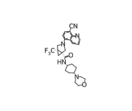 N#Cc1ccc(N2C[C@@]3(C(=O)N[C@H]4CC[C@@H](N5CCOCC5)CC4)C[C@@]3(C(F)(F)F)C2)c2cccnc12